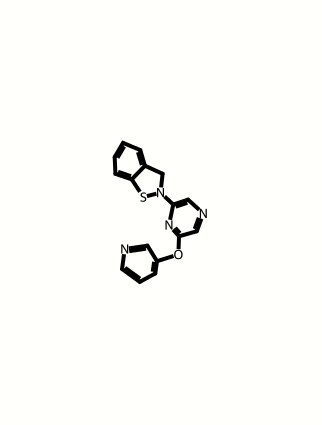 c1cncc(Oc2cncc(N3Cc4ccccc4S3)n2)c1